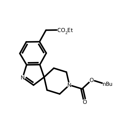 CCCCOC(=O)N1CCC2(C=Nc3ccc(CC(=O)OCC)cc32)CC1